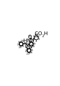 O=C(O)N1CCC[C@@H](n2c(=O)[nH]c3c(N(Cc4ccccc4)Cc4ccccc4)nccc32)C1